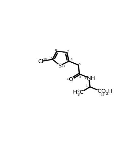 CC(NC(=O)Cc1ccc(Cl)s1)C(=O)O